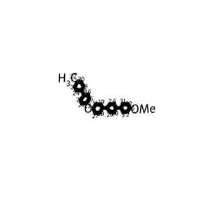 COc1ccc(-c2ccc(-c3ccc(Oc4ccc(-c5ccc(C)cc5)cc4)cc3)cc2)cc1